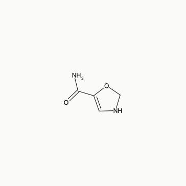 NC(=O)C1=CNCO1